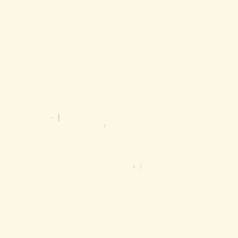 CC1C=C(Cl)CC(Cl)CCC1